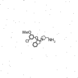 COc1cc(Cl)cc(O[C@@H]2c3ccccc3C[C@H]2N2CCC(CN)C2)c1